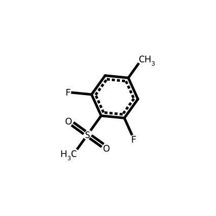 Cc1cc(F)c(S(C)(=O)=O)c(F)c1